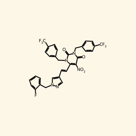 O=c1c([N+](=O)[O-])c(C=Cc2cnn(Cc3ccccc3F)c2)n(Cc2ccc(C(F)(F)F)cc2)c(=O)n1Cc1ccc(C(F)(F)F)cc1